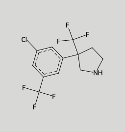 FC(F)(F)c1cc(Cl)cc(C2(C(F)(F)F)CCNC2)c1